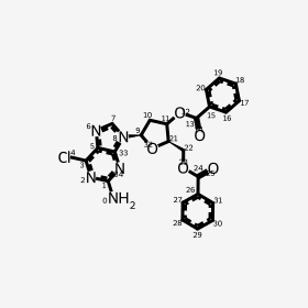 Nc1nc(Cl)c2ncn([C@H]3CC(OC(=O)c4ccccc4)[C@@H](COC(=O)c4ccccc4)O3)c2n1